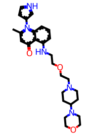 Cc1cc(=O)c2c(NCCOCCN3CCC(N4CCOCC4)CC3)cccc2n1-c1cc[nH]c1